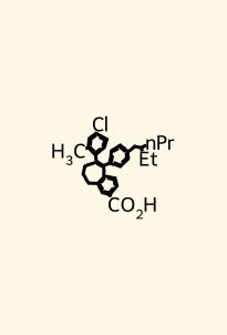 CCCC(CC)Cc1ccc(C2=C(c3ccc(Cl)cc3C)CCCc3cc(C(=O)O)ccc32)cc1